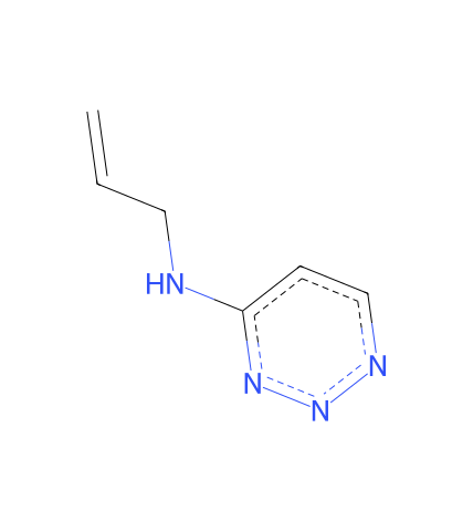 C=CCNc1ccnnn1